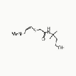 CNC/C=C\SCC(=O)NC(C)(C)CCO